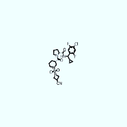 N#CC1CN(S(=O)(=O)N2CCC[C@H](C(=O)N3CCC[C@@H]3C(=O)NC(c3cc(F)c(Cl)cc3F)C3CC3)C2)C1